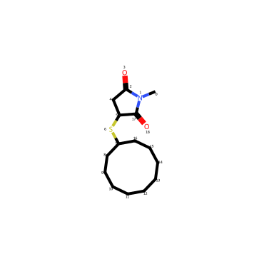 CN1C(=O)CC(SC2CCCCCCCCC2)C1=O